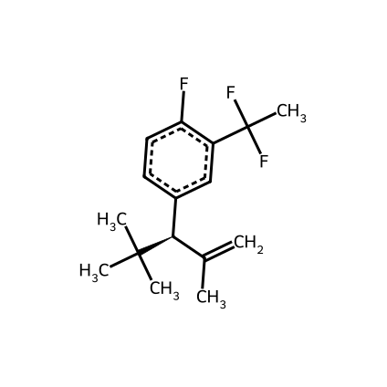 C=C(C)[C@H](c1ccc(F)c(C(C)(F)F)c1)C(C)(C)C